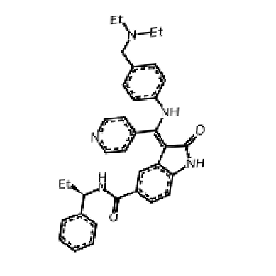 CC[C@@H](NC(=O)c1ccc2c(c1)/C(=C(/Nc1ccc(CN(CC)CC)cc1)c1ccncc1)C(=O)N2)c1ccccc1